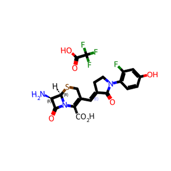 N[C@@H]1C(=O)N2C(C(=O)O)=C(/C=C3\CCN(c4ccc(O)cc4F)C3=O)CS[C@H]12.O=C(O)C(F)(F)F